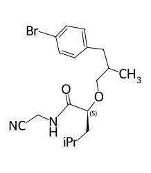 CC(C)C[C@H](OCC(C)Cc1ccc(Br)cc1)C(=O)NCC#N